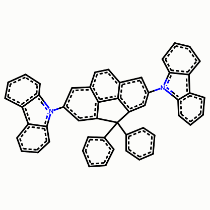 c1ccc(C2(c3ccccc3)c3cc(-n4c5ccccc5c5ccccc54)cc4ccc5cc(-n6c7ccccc7c7ccccc76)cc2c5c34)cc1